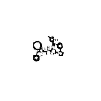 CC1CC(C(=O)N[C@@H](CC(=O)N2CCC[C@@H]2c2ccccc2)C(=O)N[C@@H](C)C2NC(Cc3ccccc3)C3(CCCCCCCC3)N2)NO1